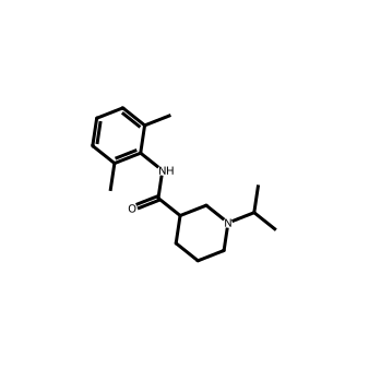 Cc1cccc(C)c1NC(=O)C1CCCN(C(C)C)C1